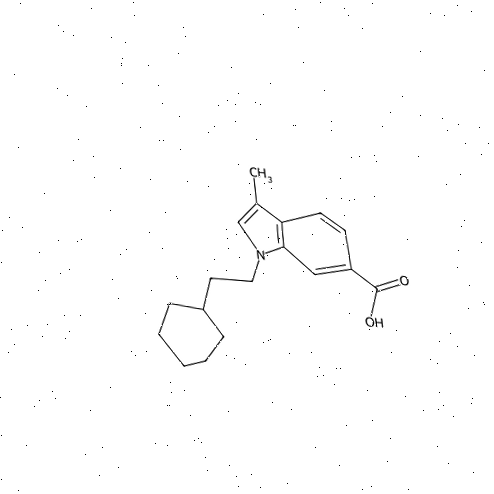 Cc1cn(CCC2CCCCC2)c2cc(C(=O)O)ccc12